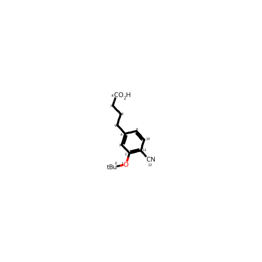 CC(C)(C)Oc1cc(CCCC(=O)O)ccc1C#N